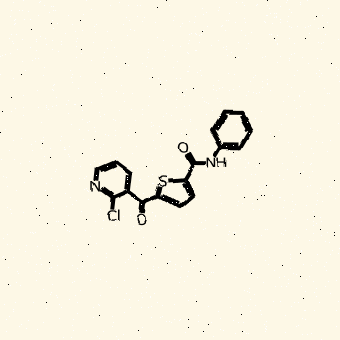 O=C(Nc1ccccc1)c1ccc(C(=O)c2cccnc2Cl)s1